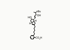 CCCCC(C)[C@H](O)/C=C/[C@H]1[C@H]2CC(CCCCCc3ccccc3C(=O)O)=C[C@H]2C[C@H]1O